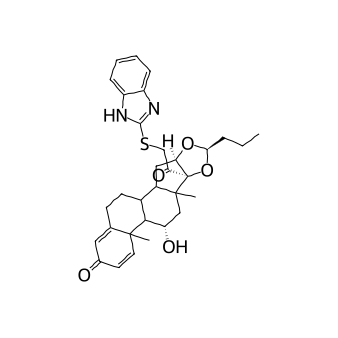 CCC[C@@H]1O[C@@H]2CC3C4CCC5=CC(=O)C=CC5(C)C4[C@@H](O)CC3(C)[C@]2(C(=O)CSc2nc3ccccc3[nH]2)O1